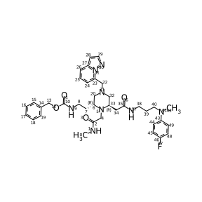 CNC(=O)CN1[C@H](CCNC(=O)OCc2ccccc2)CN(Cc2cccc3ccnn23)C[C@H]1CC(=O)NCCCN(C)c1ccc(F)cc1